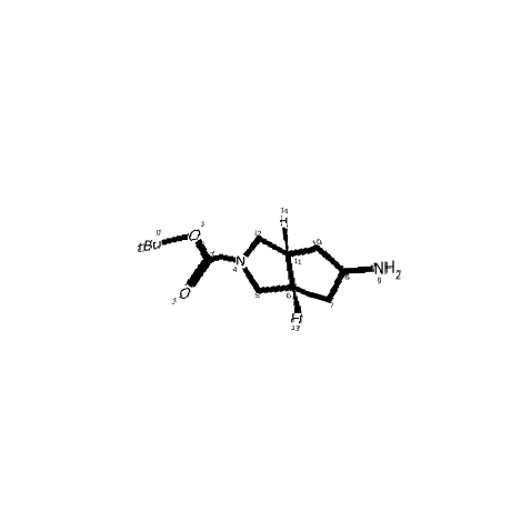 CC(C)(C)OC(=O)N1C[C@H]2CC(N)C[C@H]2C1